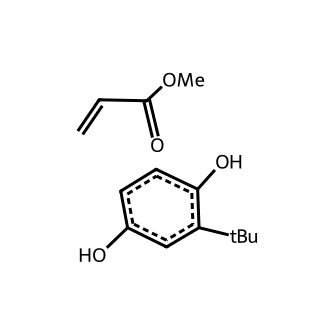 C=CC(=O)OC.CC(C)(C)c1cc(O)ccc1O